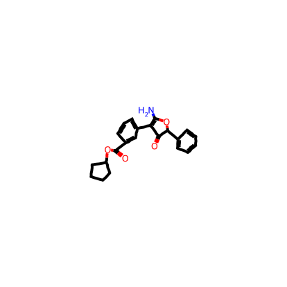 NC1=C(c2cccc(C(=O)OC3CCCC3)c2)C(=O)C(c2ccccc2)O1